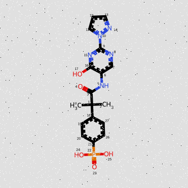 CC(C)(C(=O)Nc1cnc(-n2cccn2)nc1O)c1ccc(P(=O)(O)O)cc1